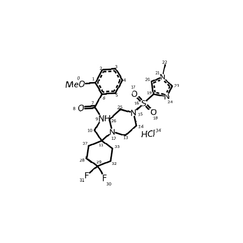 COc1ccccc1C(=O)NCC1(N2CCN(S(=O)(=O)c3cn(C)cn3)CC2)CCC(F)(F)CC1.Cl